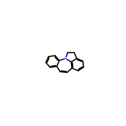 C1=Cc2cccc3c2N(CC3)c2ccccc21